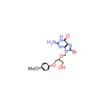 COc1ccc(OCC(CO)OCn2c(Br)nc3c(=O)[nH]c(N)nc32)cc1